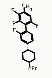 CCC[C@H]1CC[C@H](c2ccc(-c3c(F)cc(C)c(F)c3F)c(F)c2)CC1